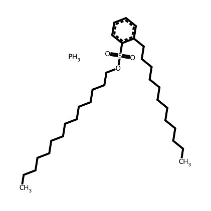 CCCCCCCCCCCCCCOS(=O)(=O)c1ccccc1CCCCCCCCCCCC.P